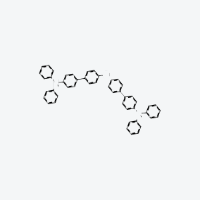 c1ccc(N(c2ccccc2)c2ccc(-c3ccc(Oc4ccc(-c5ccc(N(c6ccccc6)c6ccccc6)cc5)cc4)cc3)cc2)cc1